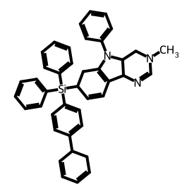 CN1C=NC2C3=C(CC([Si](c4ccccc4)(c4ccccc4)c4ccc(C5C=CC=CC5)cc4)C=C3)N(c3ccccc3)C2C1